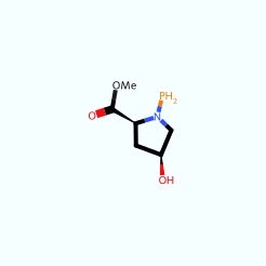 COC(=O)[C@@H]1C[C@H](O)CN1P